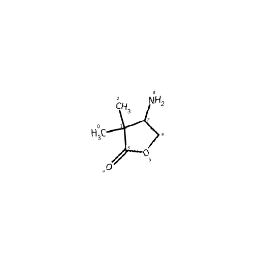 CC1(C)C(=O)OCC1N